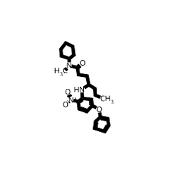 CCCC(CCC(=O)N(C)C1CCCCC1)Nc1cc(Oc2ccccc2)ccc1[N+](=O)[O-]